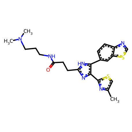 Cc1csc(-c2nc(CCC(=O)NCCCN(C)C)[nH]c2-c2ccc3ncsc3c2)n1